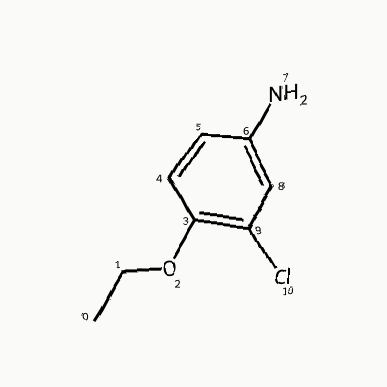 CCOc1ccc(N)cc1Cl